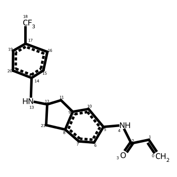 C=CC(=O)Nc1ccc2c(c1)CC(Nc1ccc(C(F)(F)F)cc1)C2